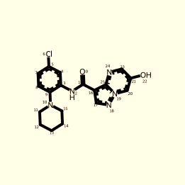 O=C(Nc1cc(Cl)ccc1N1CCCCC1)c1cnn2cc(O)cnc12